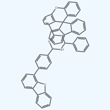 c1ccc(C2NC(c3cccc4c3C3(c5ccccc5O4)c4ccccc4-c4ccccc43)=NC(c3ccc(-c4cccc5c4oc4ccccc45)cc3)N2)cc1